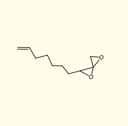 C=CCCCCCC1OC12CO2